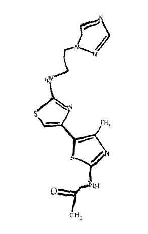 CC(=O)Nc1nc(C)c(-c2csc(NCCn3cncn3)n2)s1